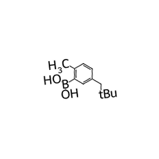 Cc1ccc(CC(C)(C)C)cc1B(O)O